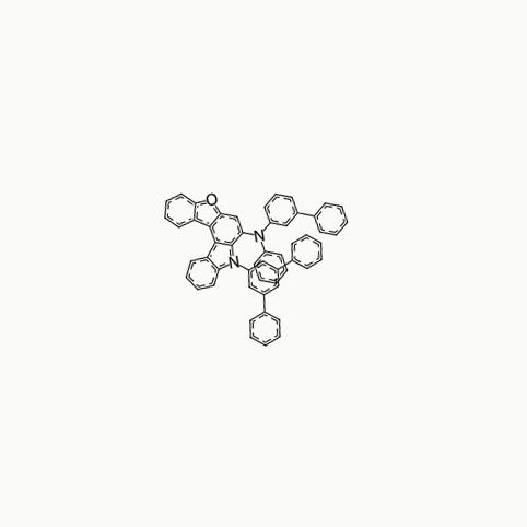 c1ccc(-c2cccc(N(c3ccccc3)c3cc4oc5ccccc5c4c4c5ccccc5n(-c5cc(-c6ccccc6)cc(-c6ccccc6)c5)c34)c2)cc1